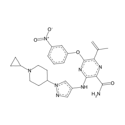 C=C(C)c1nc(C(N)=O)c(Nc2cnn(C3CCN(C4CC4)CC3)c2)nc1Oc1cccc([N+](=O)[O-])c1